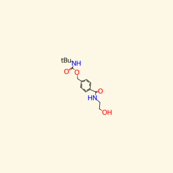 CC(C)(C)NC(=O)OCc1ccc(C(=O)NCCO)cc1